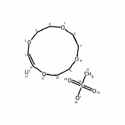 C1=COCCOCCOCCO1.CS(=O)(=O)[O-].[Li+]